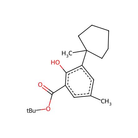 Cc1cc(C(=O)OC(C)(C)C)c(O)c(C2(C)CCCCC2)c1